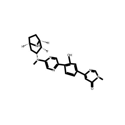 CN(c1cnc(-c2ccc(-c3cc(=O)n(C)cn3)cc2O)cn1)[C@@H]1C[C@H]2CC[C@H](N2)[C@@H]1F